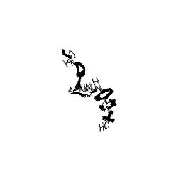 C=CC(=O)Nc1cccc(-c2ncc3cnc(Nc4ccc(N5CCN(CC(C)(C)O)CC5)cc4)nn23)c1